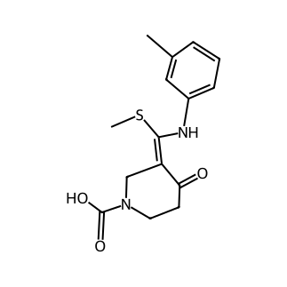 CSC(Nc1cccc(C)c1)=C1CN(C(=O)O)CCC1=O